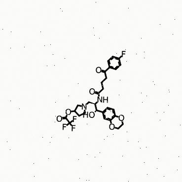 O=C(CCCC(=O)c1ccc(F)cc1)N[C@H](CN1CCC(OC(=O)C(F)(F)F)C1)[C@H](O)c1ccc2c(c1)OCCO2